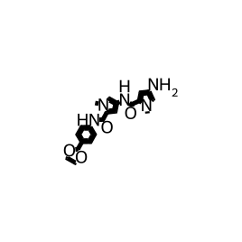 Cn1cc(N)cc1C(=O)Nc1cc(C(=O)Nc2ccc(C3OCCO3)cc2)n(C)c1